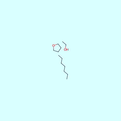 C1CCOC1.CCCCCCC.CCO